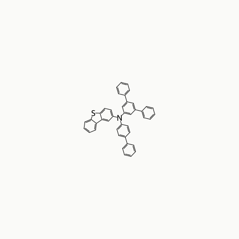 c1ccc(-c2ccc(N(c3cc(-c4ccccc4)cc(-c4ccccc4)c3)c3ccc4sc5ccccc5c4c3)cc2)cc1